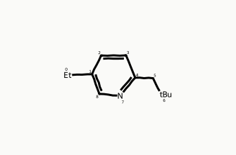 CCc1ccc(CC(C)(C)C)nc1